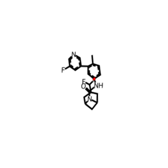 Cc1ccc(NC(=O)N2C3CC(C(F)F)CC2C3)cc1-c1cncc(F)c1